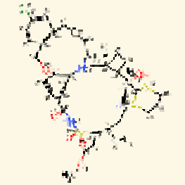 COCC[C@@H]1[C@@H](C)C/C=C/[C@](O)(C2SCCCS2)[C@@H]2CC[C@H]2CN2CCCCc3cc(Cl)ccc3COc3ccc(cc32)C(=O)NS1(=O)=O